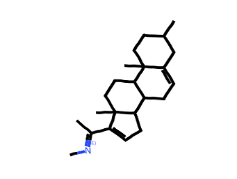 C/N=C(\C)C1=CCC2C3CC=C4CC(C)CCC4(C)C3CCC12C